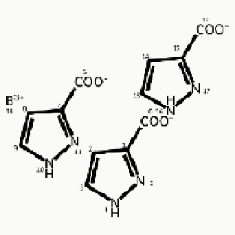 O=C([O-])c1cc[nH]n1.O=C([O-])c1cc[nH]n1.O=C([O-])c1cc[nH]n1.[B+3]